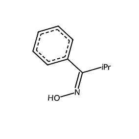 CC(C)/C(=N/O)c1ccccc1